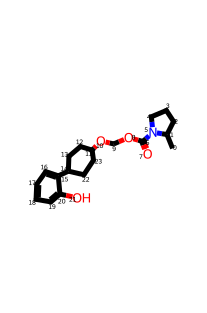 CC1CCCN1C(=O)OCOC1CCC(c2ccccc2O)CC1